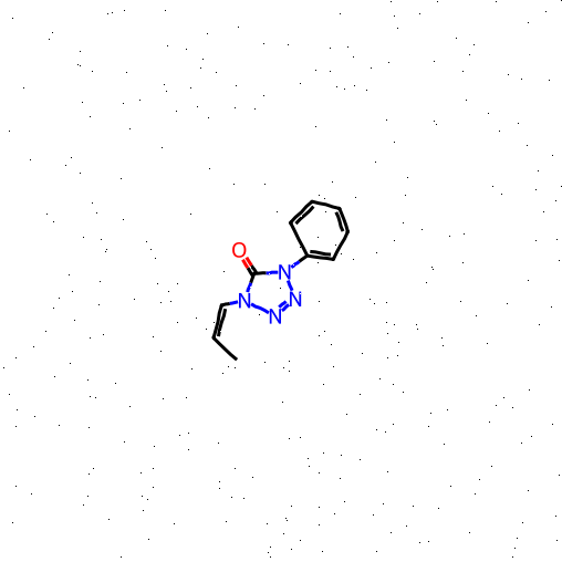 C/C=C\n1nnn(-c2ccccc2)c1=O